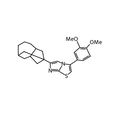 COc1ccc(-c2csc3nc(C45CC6CCCC(C4)C(C6)C5)cn23)cc1OC